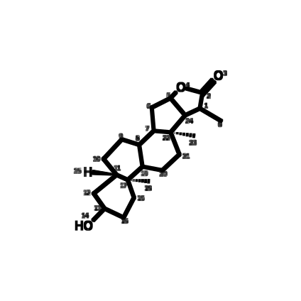 CC1C(=O)OC2CC3C4CC[C@H]5CC(O)CC[C@]5(C)C4CC[C@]3(C)C21